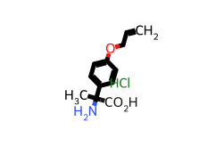 C=CCOc1ccc(C(C)(N)C(=O)O)cc1.Cl